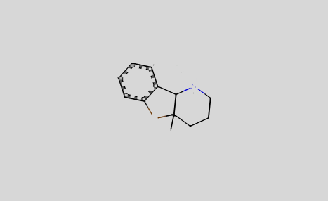 CC12CCCNC1c1ccccc1S2.Cl